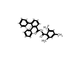 Cc1cc(C)c(C(=O)OC(=O)c2cccc(-c3ccccc3)c2-c2ccccc2)c(C)c1